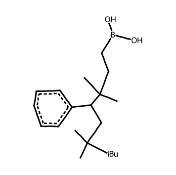 CCC(C)C(C)(C)CC(c1ccccc1)C(C)(C)CCB(O)O